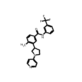 Cc1ccc(C(=O)Nc2cccc(C(F)(F)F)c2)cc1C1CCN(c2ccncc2)C1